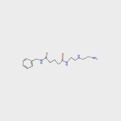 NCCNCCNC(=O)CCCC(=O)NCc1ccccc1